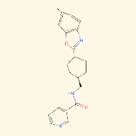 Cc1ccc2nc([C@H]3CC[C@H](CNC(=O)c4cccnc4)CC3)oc2c1